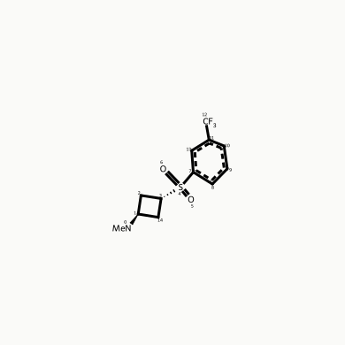 CN[C@H]1C[C@H](S(=O)(=O)c2cccc(C(F)(F)F)c2)C1